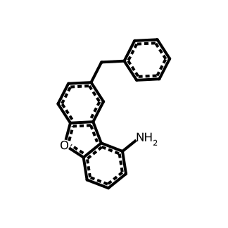 Nc1cccc2oc3ccc(Cc4ccccc4)cc3c12